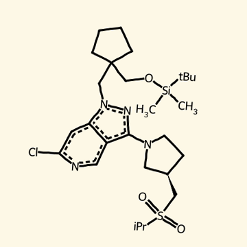 CC(C)S(=O)(=O)C[C@@H]1CCN(c2nn(CC3(CO[Si](C)(C)C(C)(C)C)CCCC3)c3cc(Cl)ncc23)C1